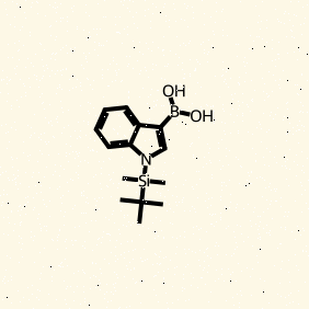 CC(C)(C)[Si](C)(C)n1cc(B(O)O)c2ccccc21